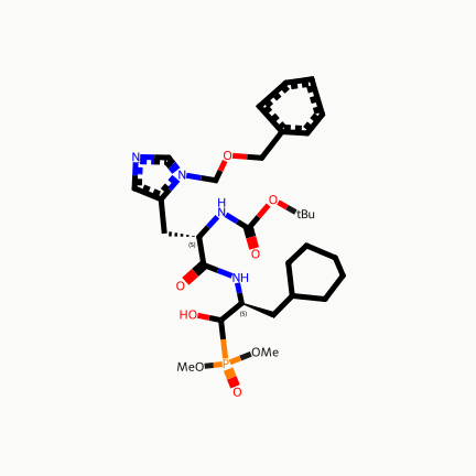 COP(=O)(OC)C(O)[C@H](CC1CCCCC1)NC(=O)[C@H](Cc1cncn1COCc1ccccc1)NC(=O)OC(C)(C)C